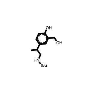 CC(CNC(C)(C)C)c1ccc(O)c(CO)c1